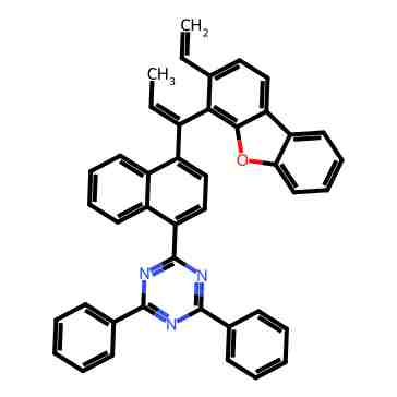 C=Cc1ccc2c(oc3ccccc32)c1/C(=C\C)c1ccc(-c2nc(-c3ccccc3)nc(-c3ccccc3)n2)c2ccccc12